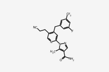 Cc1c(C(N)=O)cnn1-c1cc(Cc2cc(F)cc(C(F)(F)F)c2)c(CCC#N)cn1